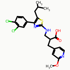 COc1cc(CC(CNc2nc(-c3ccc(Cl)c(Cl)c3)c(CC(C)C)s2)C(=O)O)ccn1